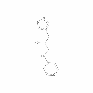 OC(CNc1ccccc1)Cn1ccnc1